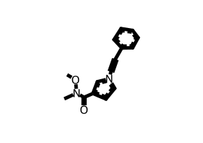 CON(C)C(=O)c1ccn(C#Cc2ccccc2)c1